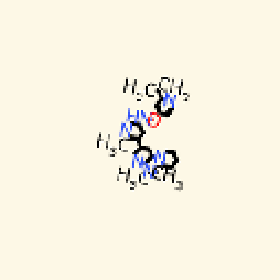 Cc1ncc(NOc2ccnc(C(C)C)c2)cc1-c1cnc(N(C)C)c(N2CCCCC2)c1